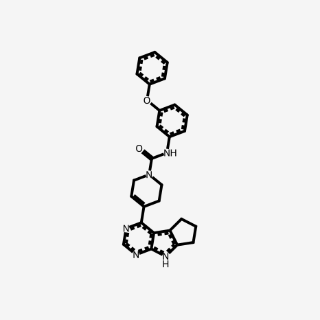 O=C(Nc1cccc(Oc2ccccc2)c1)N1CC=C(c2ncnc3[nH]c4c(c23)CCC4)CC1